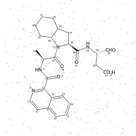 C[C@H](NC(=O)c1nccc2ccccc12)C(=O)N1C2CCCCC2C[C@H]1C(=O)N[C@H](C=O)CC(=O)O